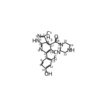 Cc1n[nH]c2nc(-c3ccc(O)cc3F)c(C#N)c(C(=O)N3CCNCC3)c12